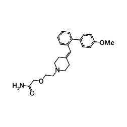 COc1ccc(-c2ccccc2C=C2CCN(CCOCC(N)=O)CC2)cc1